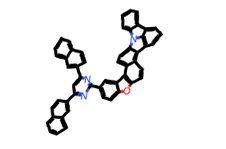 c1ccc2cc(-c3cc(-c4ccc5ccccc5c4)nc(-c4ccc5oc6ccc7c(ccc8c7c7cccc9c%10ccccc%10n8c97)c6c5c4)n3)ccc2c1